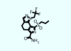 CCCS(=O)(=O)c1sc(C(N)=O)c2c1-c1c(cnn1CC(F)(F)F)CC2